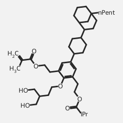 C=C(C)C(=O)OCCc1cc(C2CCC(C3CCC4(CCCCC)CCCC3C4)CC2)cc(CCOC(=O)C(C)C)c1OCCC(CO)CO